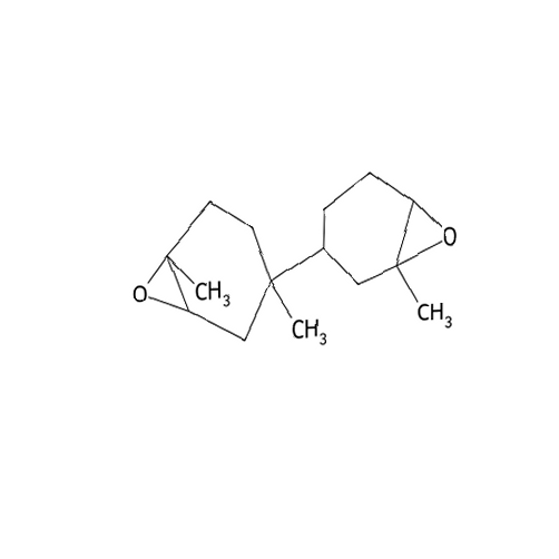 CC1(C2CCC3OC3(C)C2)CCC2(C)OC2C1